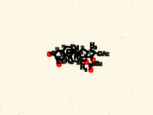 CCCCC(=O)O[C@]1(C(=O)COC(C)=O)[C@@H](C)C[C@H]2[C@@H]3CCC4=CC(=O)C5=C(O5)[C@]4(C)[C@H]3CC[C@@]21C